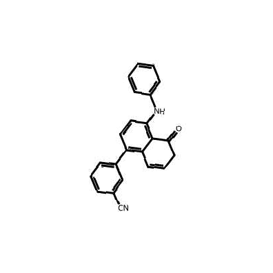 N#Cc1cccc(-c2ccc(Nc3ccccc3)c3c2C=CCC3=O)c1